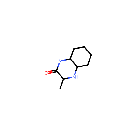 CC1NC2CCCCC2NC1=O